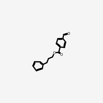 O=[C]c1ccc(C(=O)OCCCc2ccccc2)cc1